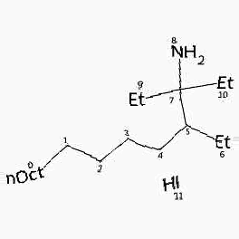 CCCCCCCCCCCCC(CC)C(N)(CC)CC.I